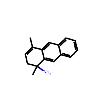 CC1=CCC(C)(N)c2cc3ccccc3cc21